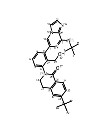 CC(C)(C)Nc1nc(-c2cccc(N3CCc4cc(C(C)(C)C)ccc4C3=O)c2CO)cn2ccnc12